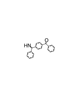 N=C(c1ccccc1)c1ccc(C(=O)c2ccccc2)cc1